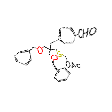 CC(=O)OCSCC(COCc1ccccc1)(COCc1ccccc1)Cc1ccc(C=O)cc1